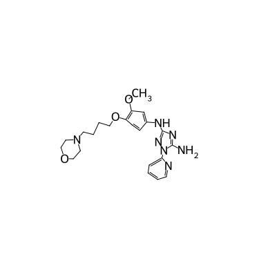 COc1cc(Nc2nc(N)n(-c3ccccn3)n2)ccc1OCCCCN1CCOCC1